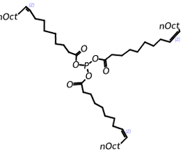 CCCCCCCC/C=C\CCCCCCCC(=O)OP(OC(=O)CCCCCCC/C=C\CCCCCCCC)OC(=O)CCCCCCC/C=C\CCCCCCCC